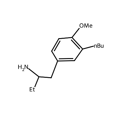 CCCCc1cc(CC(N)CC)ccc1OC